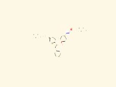 COc1ccc2c(Oc3ccc(/C=C/C(O)OC)cc3)c(-c3ccc(F)cc3)sc2c1